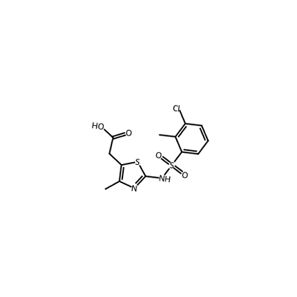 Cc1nc(NS(=O)(=O)c2cccc(Cl)c2C)sc1CC(=O)O